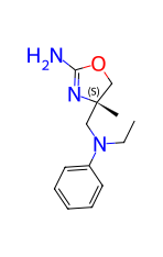 CCN(C[C@@]1(C)COC(N)=N1)c1ccccc1